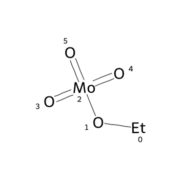 CC[O][Mo](=[O])(=[O])=[O]